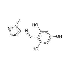 Cn1nccc1/N=N/c1c(O)cc(O)cc1O